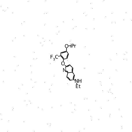 CCNc1ccc2nc(Oc3ccc(OC(C)C)cc3C(F)(F)F)ccc2c1